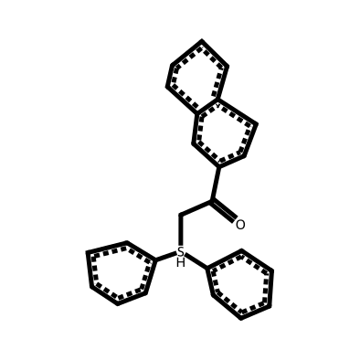 O=C(C[SH](c1ccccc1)c1ccccc1)c1ccc2ccccc2c1